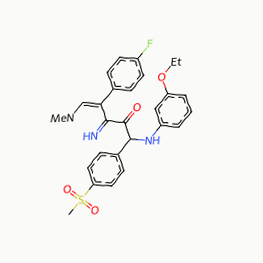 CCOc1cccc(NC(C(=O)C(=N)/C(=C\NC)c2ccc(F)cc2)c2ccc(S(C)(=O)=O)cc2)c1